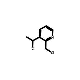 CC(Cl)c1cccnc1CCl